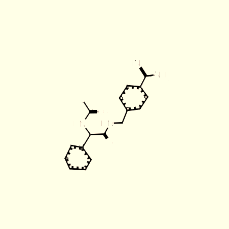 CC(=O)NC(C(=O)NCc1ccc(C(=N)N)cc1)c1ccccc1